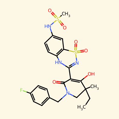 CCC1(C)CN(Cc2ccc(F)cc2)C(=O)C(C2=NS(=O)(=O)c3cc(NS(C)(=O)=O)ccc3N2)=C1O